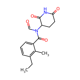 CCc1cccc(C(=O)N(C=O)C2CCC(=O)NC2=O)c1C